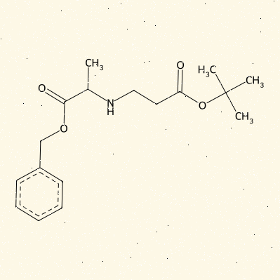 CC(NCCC(=O)OC(C)(C)C)C(=O)OCc1ccccc1